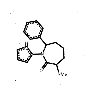 CNC1CCCC(c2ccccc2)N(c2ccc[nH]2)C1=O